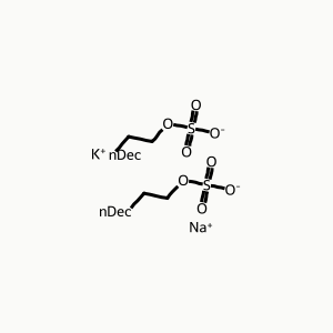 CCCCCCCCCCCCOS(=O)(=O)[O-].CCCCCCCCCCCCOS(=O)(=O)[O-].[K+].[Na+]